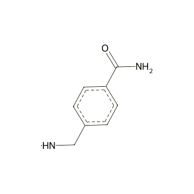 [NH]Cc1ccc(C(N)=O)cc1